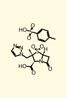 C[C@]1(Cn2ccnn2)[C@H](C(=O)O)N2C(=O)C[C@H]2S1(=O)=O.Cc1ccc(S(=O)(=O)O)cc1